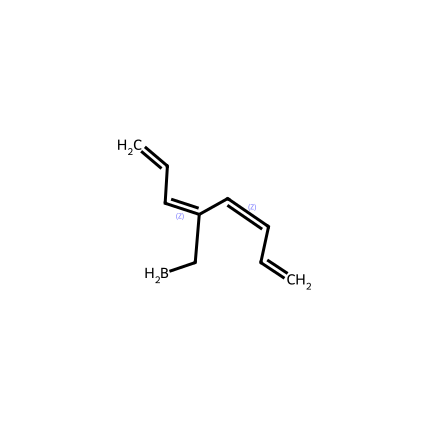 BCC(/C=C\C=C)=C/C=C